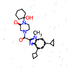 Cn1c(C(=O)N2CCN(C3(O)CCCCC3)C(=O)C2)nc2c(C3CCC3)cc(C3CC3)cc21